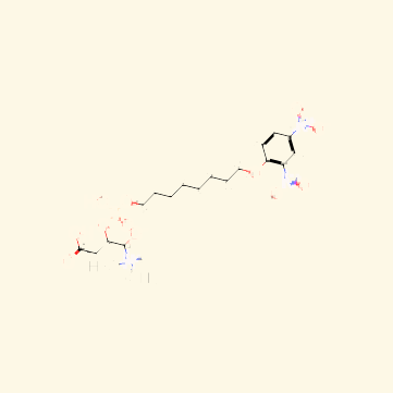 C[N+](C)(C)C([O-])[C@@H](CC(=O)O)OP(=O)(O)OCCCCCCCCOc1ccc([N+](=O)[O-])cc1[N+](=O)[O-]